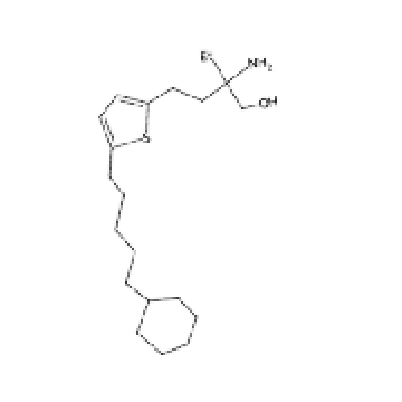 CCC(N)(CO)CCc1ccc(CCCCCC2CCCCC2)s1